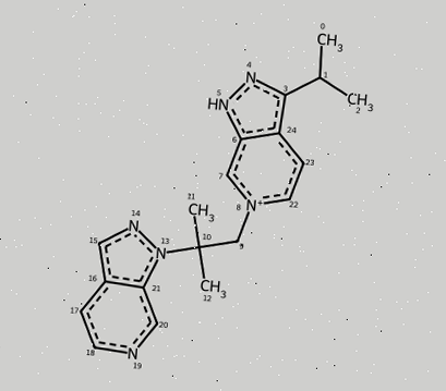 CC(C)c1n[nH]c2c[n+](CC(C)(C)n3ncc4ccncc43)ccc12